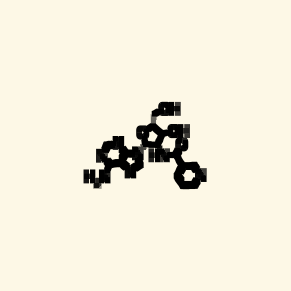 Nc1ncnc2c1ncn2[C@@H]1O[C@H](CO)C(O)[C@@H]1NC(=O)c1cccnc1